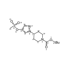 CC(C)(C)OC(=O)N1CCC(n2cc(OS(C)(=O)=O)cn2)CC1